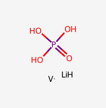 O=P(O)(O)O.[LiH].[V]